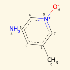 Cc1ccc[n+]([O-])c1.N